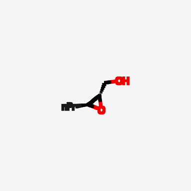 CCC[C@@H]1O[C@H]1CO